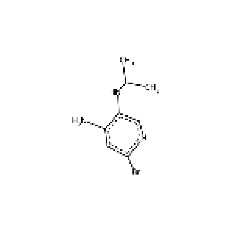 CC(C)Nc1cnc(Br)cc1N